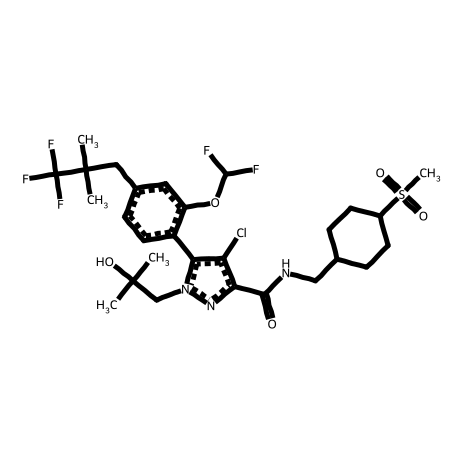 CC(C)(O)Cn1nc(C(=O)NCC2CCC(S(C)(=O)=O)CC2)c(Cl)c1-c1ccc(CC(C)(C)C(F)(F)F)cc1OC(F)F